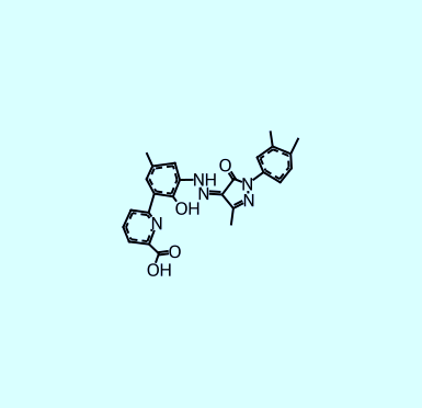 CC1=NN(c2ccc(C)c(C)c2)C(=O)C1=NNc1cc(C)cc(-c2cccc(C(=O)O)n2)c1O